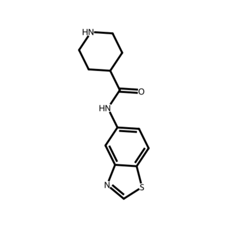 O=C(Nc1ccc2scnc2c1)C1CCNCC1